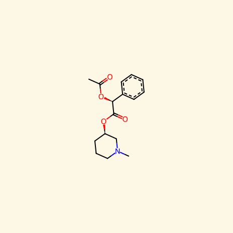 CC(=O)O[C@H](C(=O)O[C@@H]1CCCN(C)C1)c1ccccc1